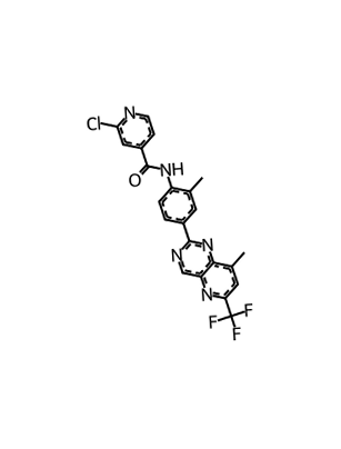 Cc1cc(-c2ncc3nc(C(F)(F)F)cc(C)c3n2)ccc1NC(=O)c1ccnc(Cl)c1